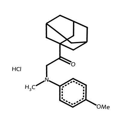 COc1ccc(N(C)CC(=O)C23CC4CC(CC(C4)C2)C3)cc1.Cl